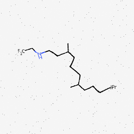 CC(C)CCCC(C)CCCC(C)CCNCC(F)(F)F